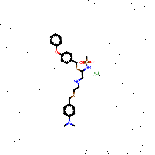 CN(C)c1ccc(CSCCNCC(NS(C)(=O)=O)SCc2ccc(Oc3ccccc3)cc2)cc1.Cl